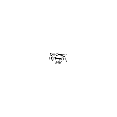 CN.O=C[O-].[Na+]